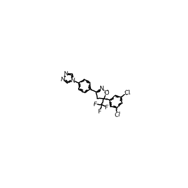 FC(F)(F)C1(c2cc(Cl)cc(Cl)c2)CC(c2ccc(-n3cnnc3)cc2)=NO1